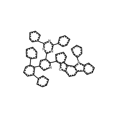 c1ccc(-c2nc(-c3ccccc3)nc(-c3cc(-c4c(-c5ccccc5)cccc4-c4ccccc4)cnc3-c3cccc4c3oc3ccc5c6ccccc6n(-c6ccccc6)c5c34)n2)cc1